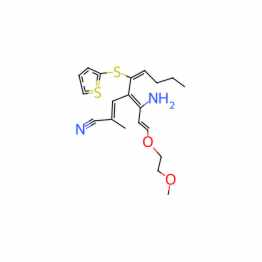 CCC/C=C(/Sc1cccs1)C(/C=C(\C)C#N)=C(N)/C=C/OCCOC